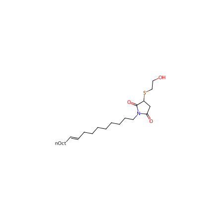 CCCCCCCCC=CCCCCCCCCN1C(=O)CC(SCCO)C1=O